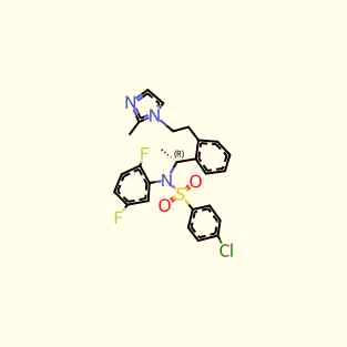 Cc1nccn1CCc1ccccc1[C@@H](C)N(c1cc(F)ccc1F)S(=O)(=O)c1ccc(Cl)cc1